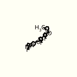 CC1CCCN(C(=O)c2ccc(-c3ccc(OCC4CCN(CC5(C(F)(F)F)CCC5)CC4)c(F)c3)c(F)c2)C1